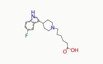 O=C(O)CCCCCN1CCC(c2c[nH]c3ccc(F)cc23)CC1